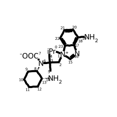 CC(C)[N+]1(CC(C)(C)N(C(=O)[O-])[C@H]2CCCC[C@H]2N)C=Nc2c(N)cccc21